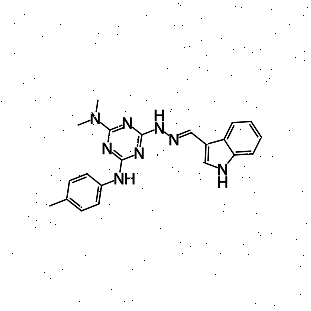 Cc1ccc(Nc2nc(N/N=C/c3c[nH]c4ccccc34)nc(N(C)C)n2)cc1